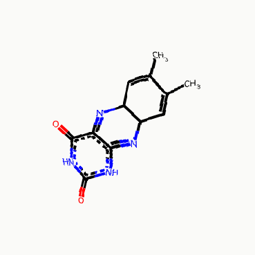 CC1=CC2N=c3[nH]c(=O)[nH]c(=O)c3=NC2C=C1C